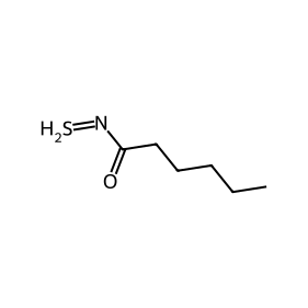 CCCCCC(=O)N=[SH2]